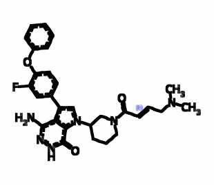 CN(C)C/C=C/C(=O)N1CCCC(n2cc(-c3ccc(Oc4ccccc4)c(F)c3)c3c(N)n[nH]c(=O)c32)C1